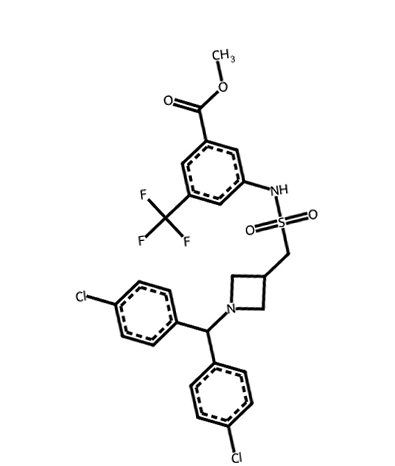 COC(=O)c1cc(NS(=O)(=O)CC2CN(C(c3ccc(Cl)cc3)c3ccc(Cl)cc3)C2)cc(C(F)(F)F)c1